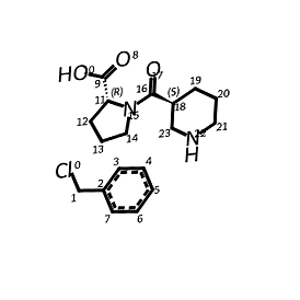 ClCc1ccccc1.O=C(O)[C@H]1CCCN1C(=O)[C@H]1CCCNC1